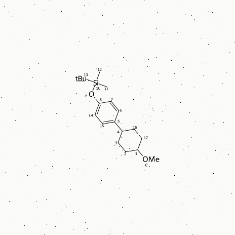 COC1CCC(c2ccc(O[Si](C)(C)C(C)(C)C)cc2)CC1